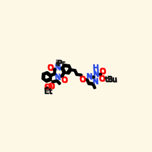 CCOOCC(C)N1C(=O)c2cc(CCCOc3cc(C)nc(NC(=O)OC(C)(C)C)n3)ccc2N(C(C)C)C(=O)C1c1ccccc1